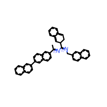 C/C(=N\C(=N/Cc1ccc2ccccc2c1)C1C=c2ccccc2=CC1)c1ccc2cc(-c3ccc4ccccc4c3)ccc2c1